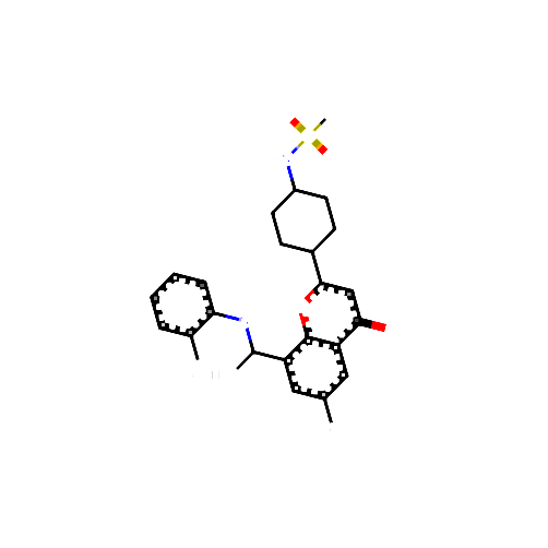 Cc1cc(C(C)Nc2ccccc2C(=O)O)c2oc(C3CCC(NS(C)(=O)=O)CC3)cc(=O)c2c1